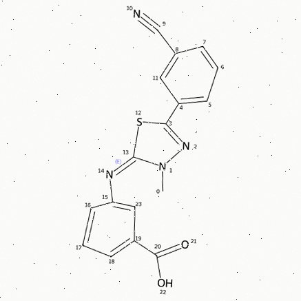 Cn1nc(-c2cccc(C#N)c2)s/c1=N/c1cccc(C(=O)O)c1